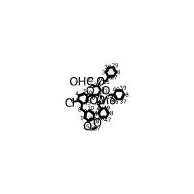 CO[C@@]1(c2ccc(Cl)c(Cc3ccc4c(c3)OCCO4)c2)O[C@H](C=O)[C@@H](OCc2ccccc2)[C@H](OCc2ccccc2)[C@H]1OCc1ccccc1